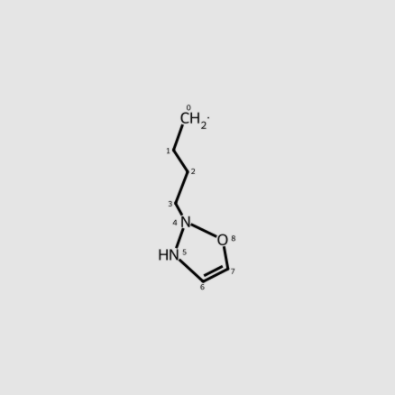 [CH2]CCCN1NC=CO1